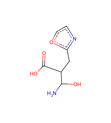 NC(O)C(Cc1ncco1)C(=O)O